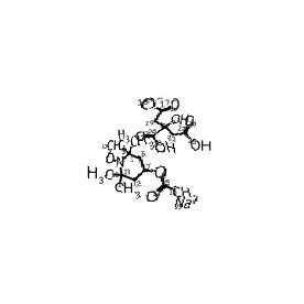 CON1C(C)(C)CC(OC(C)=O)CC1(C)C.O=C([O-])CC(O)(CC(=O)O)C(=O)O.[Na+]